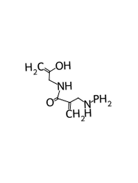 C=C(O)CNC(=O)C(=C)CNP